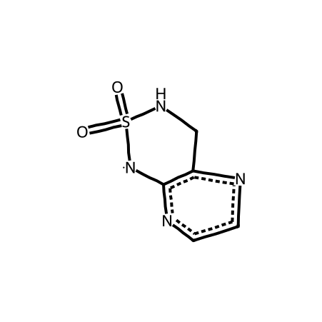 O=S1(=O)[N]c2nccnc2CN1